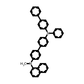 CN(c1ccc(-c2ccc(N(c3ccccc3)c3ccc(-c4ccccc4)cc3)cc2)cc1)c1cccc2ccccc12